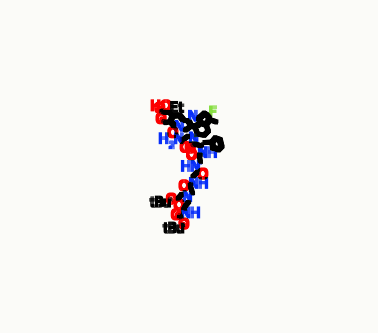 CC[C@@]1(O)C(=O)OCc2c1cc1n(c2=O)Cc2c-1nc1cc(F)c(C)c3c1c2[C@@H](N(CC(N)=O)C(=O)[C@H](Cc1ccccc1)NC(=O)CNC(=O)CNC(=O)CN(CCNC(=O)OC(C)(C)C)CC(=O)OC(C)(C)C)CC3